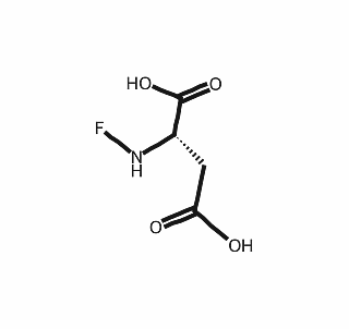 O=C(O)C[C@H](NF)C(=O)O